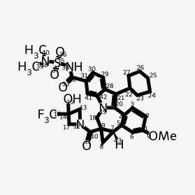 COc1ccc2c(c1)[C@@H]1CC1(C(=O)N1CC(O)(C(F)(F)F)C1)Cn1c-2c(C2CCCCC2)c2ccc(C(=O)NS(=O)(=O)N(C)C)cc21